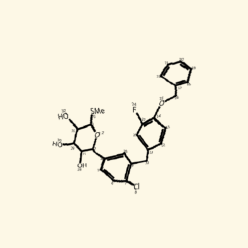 CSC1OC(c2ccc(Cl)c(Cc3ccc(OCc4ccccc4)c(F)c3)c2)C(O)C(O)C1O